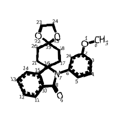 COc1cccc(N2C(=O)c3ccccc3C23CCC2(CC3)OCCO2)c1